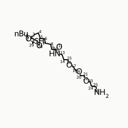 CCCCOS12CCC(CCCCC(=O)NCCCOCCOCCOCCCN)[SH]1(=O)C2